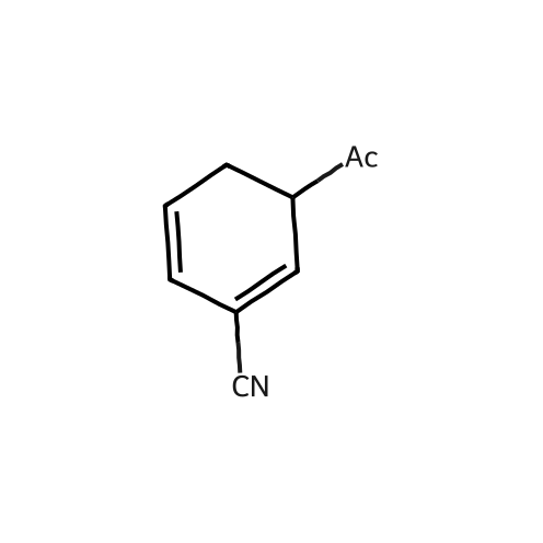 CC(=O)C1C=C(C#N)C=CC1